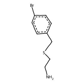 NCCSCc1ccc(Br)cc1